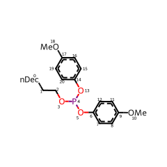 CCCCCCCCCCCCOP(Oc1ccc(OC)cc1)Oc1ccc(OC)cc1